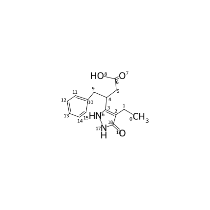 CCc1c(C(CC(=O)O)Cc2ccccc2)[nH][nH]c1=O